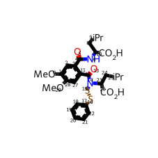 COc1cc(C(=O)NC(CC(C)C)C(=O)O)c(C(=O)N(SSc2ccccc2)C(CC(C)C)C(=O)O)cc1OC